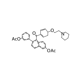 CC(=O)Oc1cccc(-c2ccc3cc(OC(C)=O)ccc3c2C(=O)C2=CCC(OCCN3CCCCC3)C=C2)c1